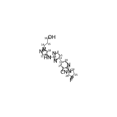 N#Cc1cc(-c2ccnc(Nc3cnn(CCCO)c3)n2)cnc1N1CC[C@H](F)C1